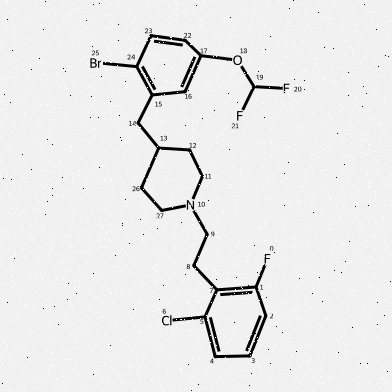 Fc1cccc(Cl)c1CCN1CCC(Cc2cc(OC(F)F)ccc2Br)CC1